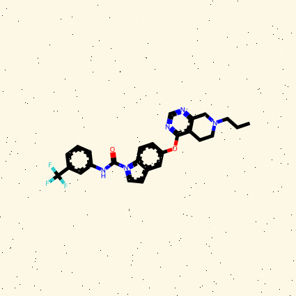 CCCN1CCc2c(ncnc2Oc2ccc3c(ccn3C(=O)Nc3cccc(C(F)(F)F)c3)c2)C1